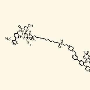 Cc1ncsc1-c1ccc(CNC(=O)[C@@H]2C[C@@H](O)CN2C(=O)[C@@H](NC(=O)CCCCCCCCCCCC(=O)NCCN2CCN(Cc3cccc(-c4ccc(N5CCN(C)CC5)c(NC(=O)c5c[nH]c(=O)cc5C(F)(F)F)c4)c3)CC2)C(C)(C)C)cc1